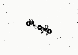 CCOC(Cc1ccc(OCCN2CCOc3ccccc32)cc1)(Cc1ccccc1F)C(=O)OC